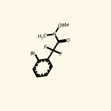 CON(C)C(=O)C(F)(F)c1ccccc1Br